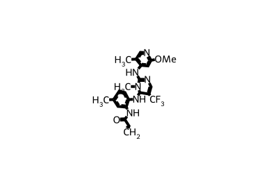 C=CC(=O)Nc1cc(C)ccc1NC1C(C(F)(F)F)=CN=C(Nc2cc(OC)ncc2C)N1C